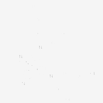 CN(C)c1ccc(C(c2ccc(N(CCOCCO)CCOCCOCCO)cc2)(c2ccc(N(CCOCCO)CCOCCOCCO)cc2)n2ccnc2)cc1